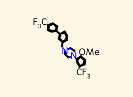 COc1ccc(C(F)(F)F)cc1N1CCN(Cc2cccc(-c3ccc(C(F)(F)F)cc3)c2)CC1